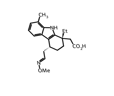 CC[C@@]1(CC(=O)O)CC[C@H](C/C=N/OC)c2c1[nH]c1c(C)cccc21